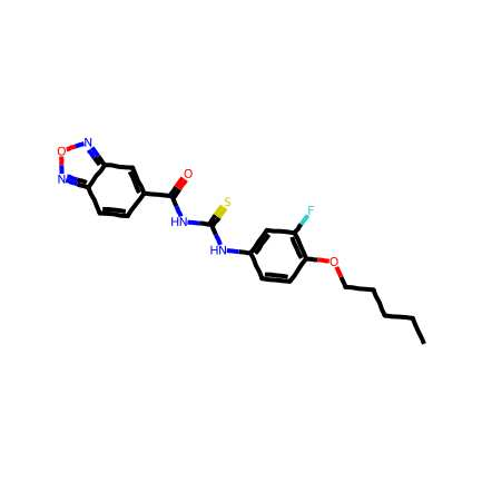 CCCCCOc1ccc(NC(=S)NC(=O)c2ccc3nonc3c2)cc1F